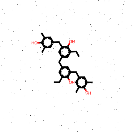 CCc1cc(Cc2cc(CC)c(O)c(Cc3cc(C)c(O)c(C)c3)c2)cc(Cc2cc(C)c(O)c(C)c2)c1O